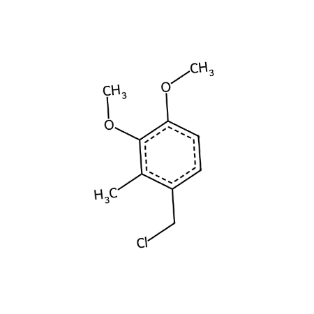 COc1ccc(CCl)c(C)c1OC